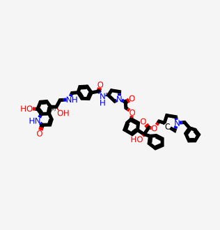 O=C(N[C@@H]1CCN(C(=O)COc2cccc(C(O)(C(=O)OCC3CCN(Cc4ccccc4)CC3)c3ccccc3)c2)C1)c1ccc(CNC[C@H](O)c2ccc(O)c3[nH]c(=O)ccc23)cc1